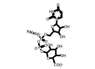 O=C([O-])C1OC(OP(=O)([O-])OP(=O)([O-])OCC2OC(n3ccc(=O)[nH]c3=O)C(O)C2O)C(O)C(O)C1O.[Na+].[Na+].[Na+]